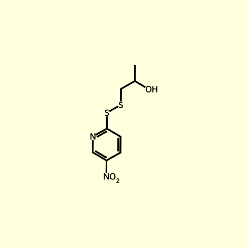 CC(O)CSSc1ccc([N+](=O)[O-])cn1